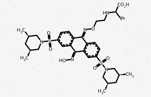 CC(C)C(NCCON=C1c2ccc(S(=O)(=O)N3C[C@H](C)C[C@H](C)C3)cc2C(=NO)c2cc(S(=O)(=O)N3C[C@H](C)C[C@H](C)C3)ccc21)C(=O)O